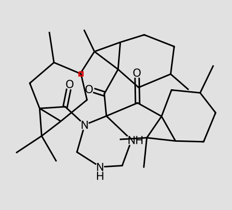 CC1CCC2C(C)(C)C2(C(=O)N2CNCNC2(C(=O)C23CC(C)CCC2C3(C)C)C(=O)C23CC(C)CCC2C3(C)C)C1